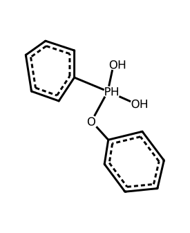 O[PH](O)(Oc1ccccc1)c1ccccc1